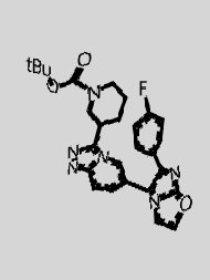 CC(C)(C)OC(=O)N1CCCC(c2nnc3ccc(-c4c(-c5ccc(F)cc5)nc5occn45)cn23)C1